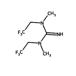 CN(CC(F)(F)F)C(=N)N(C)CC(F)(F)F